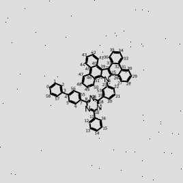 c1ccc(-c2ccc(-c3nc(-c4ccccc4)nc(-c4cccc(-n5c6c7ccccc7c7ccccc7c6c6c7ccccc7c7ccccc7c65)c4)n3)cc2)cc1